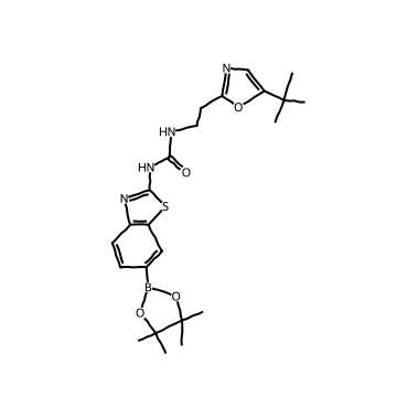 CC(C)(C)c1cnc(CCNC(=O)Nc2nc3ccc(B4OC(C)(C)C(C)(C)O4)cc3s2)o1